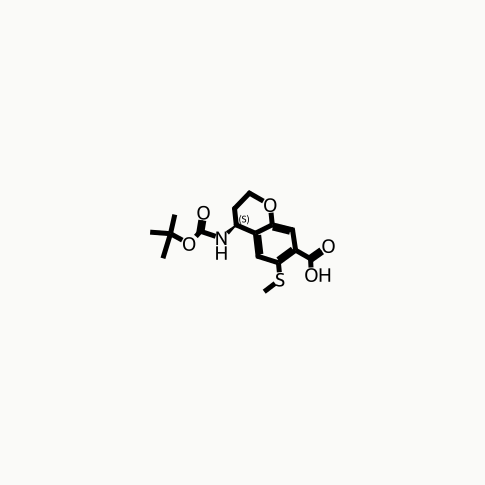 CSc1cc2c(cc1C(=O)O)OCC[C@@H]2NC(=O)OC(C)(C)C